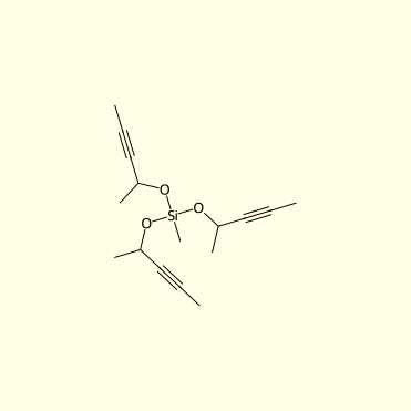 CC#CC(C)O[Si](C)(OC(C)C#CC)OC(C)C#CC